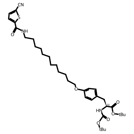 CC(C)(C)OC(=O)N[C@@H](Cc1ccc(OCCCCCCCCCCCCNC(=O)c2ccc(C#N)s2)cc1)C(=O)OC(C)(C)C